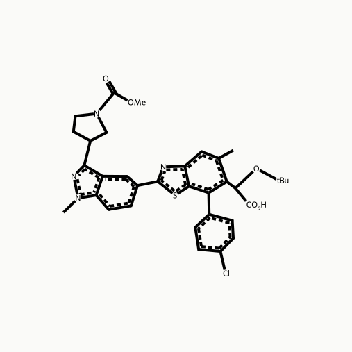 COC(=O)N1CCC(c2nn(C)c3ccc(-c4nc5cc(C)c(C(OC(C)(C)C)C(=O)O)c(-c6ccc(Cl)cc6)c5s4)cc23)C1